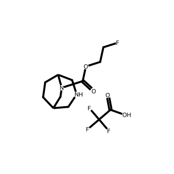 O=C(O)C(F)(F)F.O=C(OCCF)N1CC2CCC1CNC2